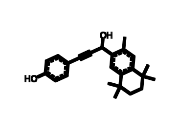 Cc1cc2c(cc1C(O)C#Cc1ccc(O)cc1)C(C)(C)CCC2(C)C